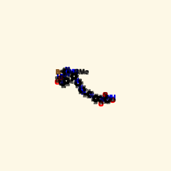 COc1cc(N2CCC(N3CCN(CC4CCN(c5ccc6c(c5)CN(C5CCC(=O)NC5=O)C6=O)C4)CC3)CC2)c(C)cc1Nc1ncc(Br)c(Nc2cccc3c2N(S(C)(=O)=O)CC3)n1